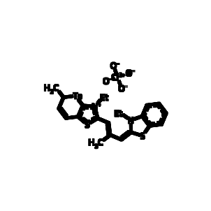 CCN1C(=CC(C)=Cc2sc3c([n+]2CC)[Te]C(C)C=C3)Sc2ccccc21.[O-][Cl+3]([O-])([O-])[O-]